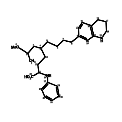 COC(C)CN(CCCCc1ccc2c(n1)NCCC2)CCC(Nc1cccnc1)C(=O)O